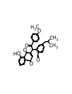 COc1ccc(C(=O)C(C2=CC(=O)c3cccc(O)c3C2=O)c2cc(CC(C)C)ccc2C=O)cc1